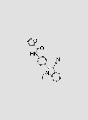 CCN1c2ccccc2C(C#N)C1c1ccc(NC(=O)c2ccco2)cc1